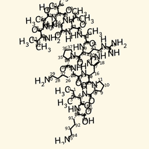 CC[C@H](C)[C@H](NC(=O)[C@@H]1CCCN1C(=O)[C@H](Cc1c[nH]cn1)NC(=O)[C@H](CCCCN)NC(=O)[C@@H]1CCCN1C(=O)[C@H](CCCNC(=N)N)NC(=O)[C@H](C)NC(=O)[C@H](CC(C)C)NC(=O)[C@H](C)NC(=O)[C@@H](NC(=O)[C@H](C)NC(=O)[C@@H](N)C(C)C)C(C)C)C(=O)N[C@@H](CCCCN)C(=O)O